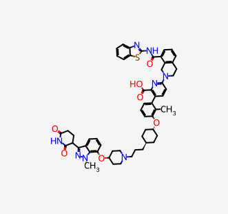 Cc1c(O[C@H]2CC[C@H](CCCN3CCC(Oc4cccc5c(C6CCC(=O)NC6=O)nn(C)c45)CC3)CC2)cccc1-c1ccc(N2CCc3cccc(C(=O)Nc4nc5ccccc5s4)c3C2)nc1C(=O)O